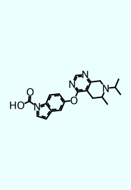 CC(C)N1Cc2ncnc(Oc3ccc4c(ccn4C(=O)O)c3)c2CC1C